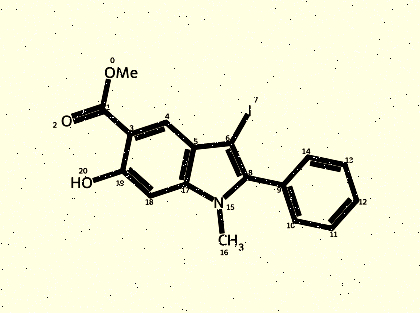 COC(=O)c1cc2c(I)c(-c3ccccc3)n(C)c2cc1O